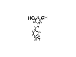 CC(C)c1ccc(CCc2cc(O)cc(O)c2)cc1